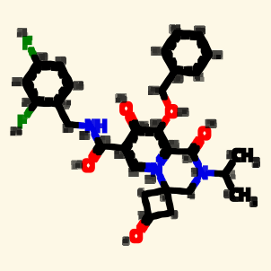 CC(C)N1CC2(CC(=O)C2)n2cc(C(=O)NCc3ccc(F)cc3F)c(=O)c(OCc3ccccc3)c2C1=O